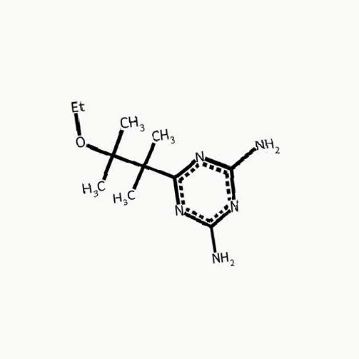 CCOC(C)(C)C(C)(C)c1nc(N)nc(N)n1